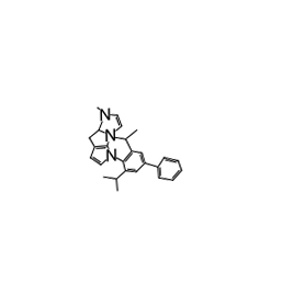 CC(C)c1cc(-c2ccccc2)cc(C(C)C)c1-n1ccc2c1N1C=CN(C)C1C2